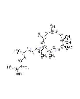 CCCCN(C)C(=O)OCC(C)/C=C/C=C(\C)[C@H]1OC(=O)C[C@@H](O)CC[C@](C)(O)[C@@H](OC(C)=O)/C=C/[C@@H]1C